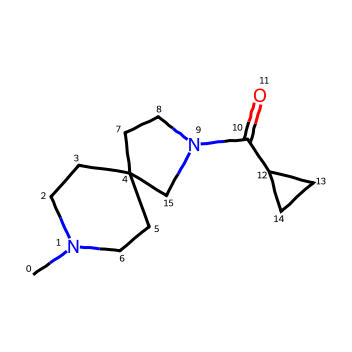 CN1CCC2(CC1)CCN(C(=O)C1CC1)C2